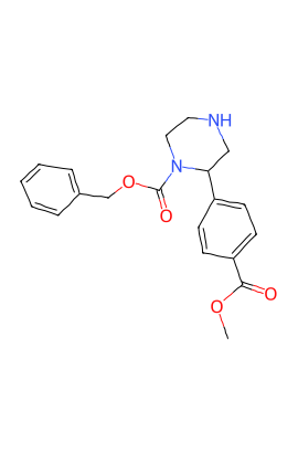 COC(=O)c1ccc(C2CNCCN2C(=O)OCc2ccccc2)cc1